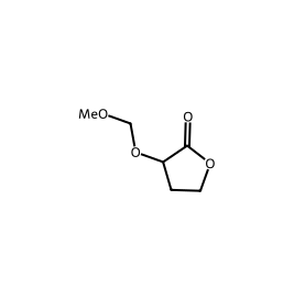 COCOC1CCOC1=O